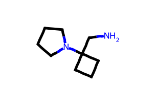 NCC1(N2CCCC2)CCC1